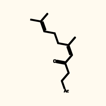 CC(=O)CCC(=O)C=C(C)CCC=C(C)C